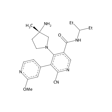 CCC(CC)NC(=O)c1cnc(C#N)c(-c2ccnc(OC)c2)c1N1CC[C@](C)(N)C1